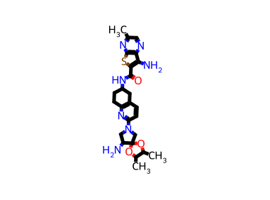 Cc1cnc2c(N)c(C(=O)NC3CCc4nc(N5CC(N)C6(C5)OC(C)C(C)O6)ccc4C3)sc2n1